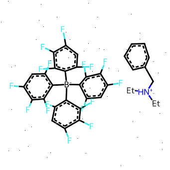 CC[NH+](CC)Cc1ccccc1.Fc1cc(F)c([B-](c2c(F)cc(F)c(F)c2F)(c2c(F)cc(F)c(F)c2F)c2c(F)cc(F)c(F)c2F)c(F)c1F